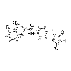 O=C1NC(=O)C(Cc2ccc(NC(=O)c3cc(=O)c4c(F)cccc4o3)cc2)S1